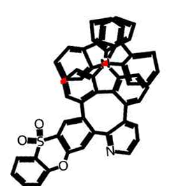 O=S1(=O)c2ccccc2Oc2cc3c(cc21)-c1cccc(-n2c4ccccc4c4ccccc42)c1-c1c(cccc1-n1c2ccccc2c2ccccc21)-c1cccnc1-3